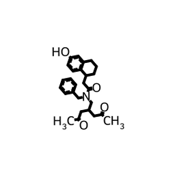 CC(=O)CC(CC(C)=O)CN(Cc1ccccc1)C(=O)CC1CCCc2cc(O)ccc21